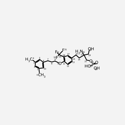 Cc1cc(C)cc(CCCOc2ccc(CCC(N)(CO)COP(=O)(O)O)cc2C(F)(F)F)c1